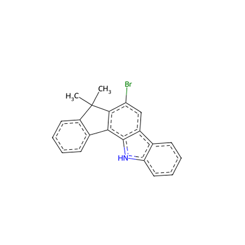 CC1(C)c2ccccc2-c2c1c(Br)cc1c2[nH]c2ccccc21